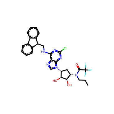 CCCN(C(=O)C(F)(F)F)[C@H]1C[C@@H](n2cnc3c(NCC4c5ccccc5-c5ccccc54)nc(Cl)nc32)[C@H](O)[C@@H]1O